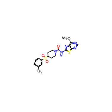 COc1ncnc2sc(NC(=O)N3CCC(S(=O)(=O)c4cccc(C(F)(F)F)c4)CC3)nc12